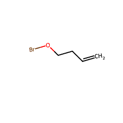 C=CCCOBr